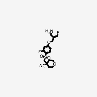 N#CC1(CS(=O)(=O)c2ccc(OCC(=CF)CN)cc2F)CCOCC1